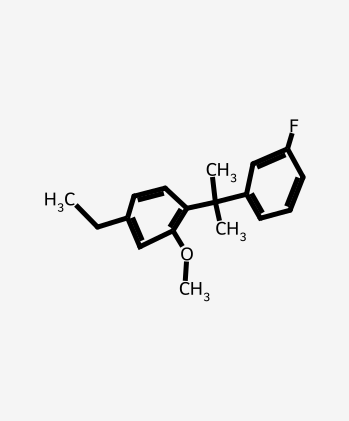 CCc1ccc(C(C)(C)c2cccc(F)c2)c(OC)c1